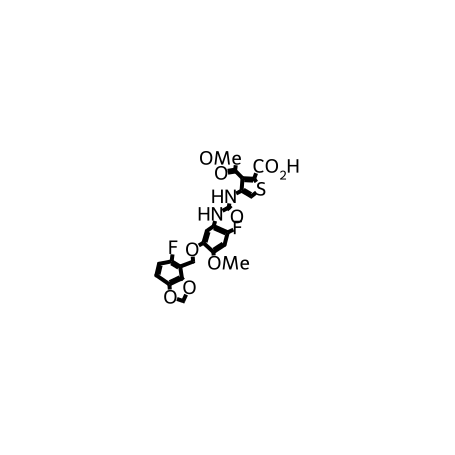 COC(=O)c1c(NC(=O)Nc2cc(OCc3c(F)ccc4c3OCO4)c(OC)cc2F)csc1C(=O)O